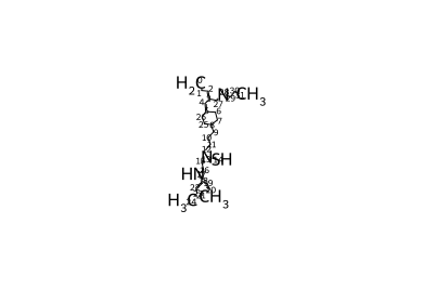 C=C/C=C(C=C1CCC(CCCCN(S)CCNC(/C=C\C)=C/CC)CC1)/C=N/CCC